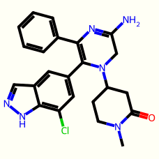 CN1CCC(N2CC(N)=NC(c3ccccc3)=C2c2cc(Cl)c3[nH]ncc3c2)CC1=O